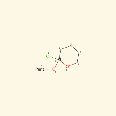 CCCC(C)O[Si]1(Cl)CCCCO1